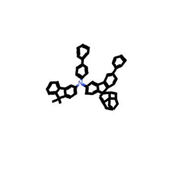 CC1(C)c2ccccc2-c2cc(N(c3ccc(-c4ccccc4)cc3)c3ccc4c(c3)-c3cc(-c5ccccc5)ccc3C43C4CC5CC6CC3C6(C5)C4)ccc21